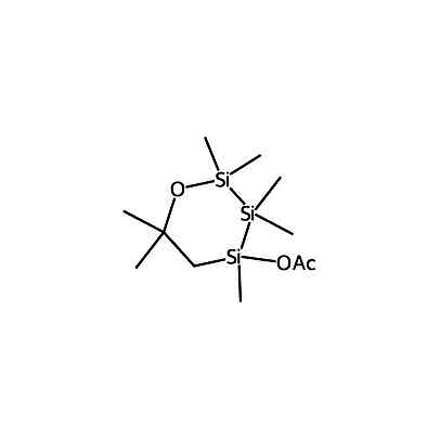 CC(=O)O[Si]1(C)CC(C)(C)O[Si](C)(C)[Si]1(C)C